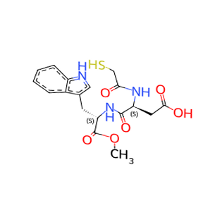 COC(=O)[C@H](Cc1c[nH]c2ccccc12)NC(=O)[C@H](CC(=O)O)NC(=O)CS